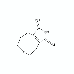 N=C1NC(=N)C2=C1CCCCCC2